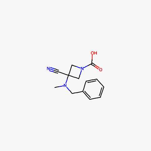 CN(Cc1ccccc1)C1(C#N)CN(C(=O)O)C1